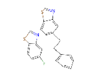 Fc1ccc2scnc2c1.c1ccc(CCc2ccc3scnc3c2)cc1